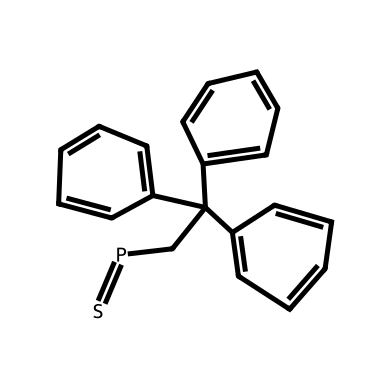 S=PCC(c1ccccc1)(c1ccccc1)c1ccccc1